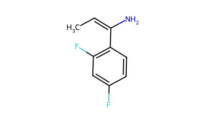 C/C=C(/N)c1ccc(F)cc1F